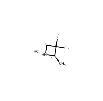 C[C@H]1NCC1(F)F.Cl